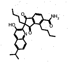 CCCCc1c(C(N)=O)ccc2c1C(=O)C(CCCC)(c1nc3ccc(C(C)C)cc3cc1O)C2=O